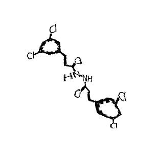 O=C(/C=C/c1cc(Cl)cc(Cl)c1)NNC(=O)/C=C/c1cc(Cl)cc(Cl)c1